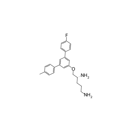 Cc1ccc(-c2cc(OC[C@H](N)CCCN)cc(-c3ccc(F)cc3)c2)cc1